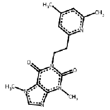 Cc1cc(C)nc(CCn2c(=O)c3c(ncn3C)n(C)c2=O)c1